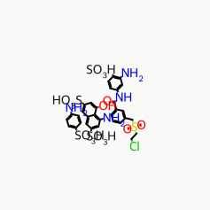 Nc1cc(NC(=O)c2cccc(CS(=O)(=O)CCCl)c2)ccc1S(=O)(=O)O.Nc1cc(S(=O)(=O)O)cc2cc(S(=O)(=O)O)cc(O)c12.Nc1ccc(S(=O)(=O)O)cc1